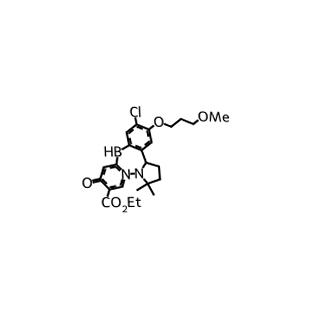 CCOC(=O)c1cn2c(cc1=O)Bc1cc(Cl)c(OCCCOC)cc1C1CCC(C)(C)N12